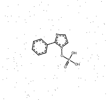 O=P(O)(O)On1ccnc1-c1ccccc1